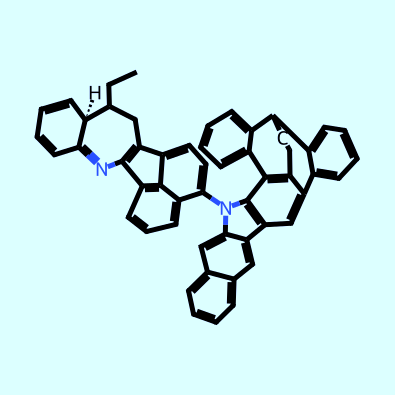 CCC1CC2=C(N=C3C=CC=C[C@H]31)c1cccc3c(-n4c5cc6ccccc6cc5c5cc6c7c(c54)-c4ccccc4C(CC7)c4ccccc4-6)ccc2c13